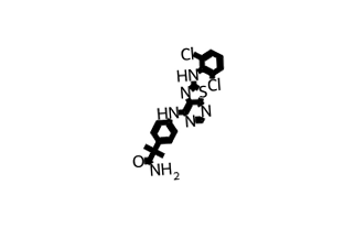 CC(C)(C(N)=O)c1ccc(Nc2ncnc3sc(Nc4c(Cl)cccc4Cl)nc23)cc1